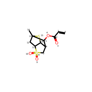 C=CC(=O)OC1C2CS(=O)(=O)C3CC1(C)SC23